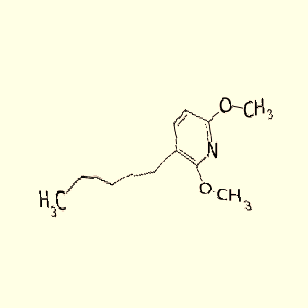 CCCCCc1ccc(OC)nc1OC